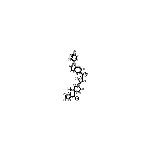 Cc1ccc(-n2ccc3cc(C(=O)N4CC(N5CCN(C(=O)c6ccc[nH]6)CC5)C4)ccc32)cn1